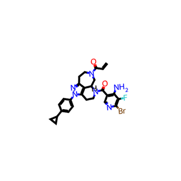 C=CC(=O)N1CCc2nn(-c3ccc(C4CC4)cc3)c3c2[C@H](C1)N(C(=O)c1cnc(Br)c(F)c1N)CC3